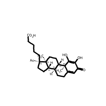 CC(=O)[C@@]1(CCCCC(=O)O)CC[C@H]2[C@@H]3CCC4=CC(=O)C(O)=C(O)[C@]4(C)[C@H]3CC[C@@]21C